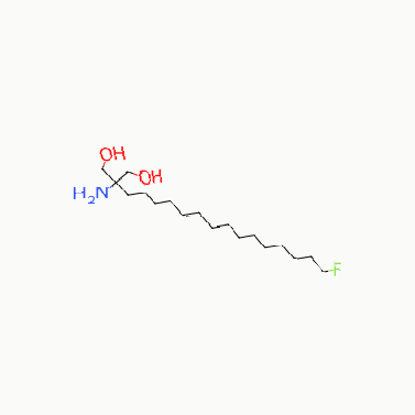 NC(CO)(CO)CCCCCCCCCCCCCCCF